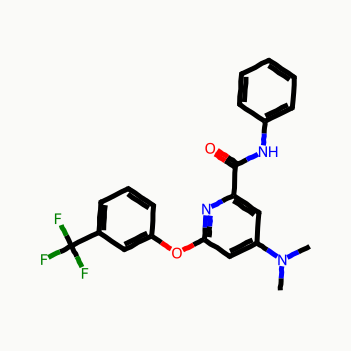 CN(C)c1cc(Oc2cccc(C(F)(F)F)c2)nc(C(=O)Nc2ccccc2)c1